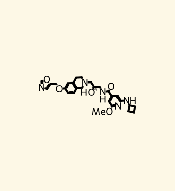 COc1cc(C(=O)NC[C@H](O)CN2CCc3cc(OCc4cnco4)ccc3C2)cc(NC2CCC2)n1